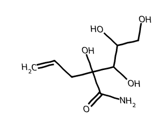 C=CCC(O)(C(N)=O)C(O)C(O)CO